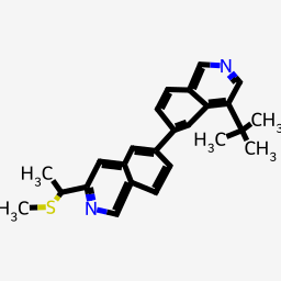 CSC(C)c1cc2cc(-c3ccc4cncc(C(C)(C)C)c4c3)ccc2cn1